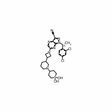 C[C@H](c1ccc(Cl)cc1Cl)n1nc(C#N)c2ncc(N3CC(C4CCCN(C5CCS(O)(O)CC5)C4)C3)nc21